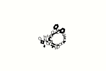 C=C[C@@H]1CC(=O)C1NC(=O)[C@@H]1C[C@@H]2CN1C(=O)[C@H](C(C)(C)C)NC(=O)OCC(C)(C)CCCCc1cccc3c1cc(n3-c1ccccc1)C(=O)O2